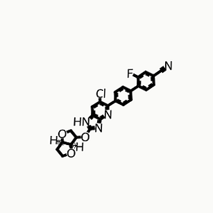 N#Cc1ccc(-c2ccc(-c3nc4nc(OC5CO[C@@H]6CCO[C@H]56)[nH]c4cc3Cl)cc2)c(F)c1